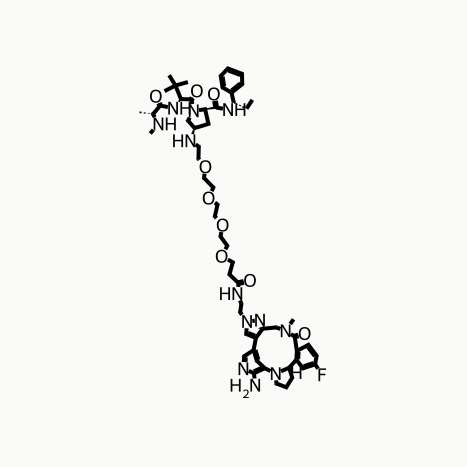 CC[C@H](NC(=O)[C@H]1C[C@@H](NCCOCCOCCOCCOCCC(=O)NCCn2cc3c(n2)CN(C)C(=O)c2ccc(F)cc2[C@H]2CCCN2c2cc-3cnc2N)CN1C(=O)[C@H](NC(=O)[C@@H](C)NC)C(C)(C)C)c1ccccc1